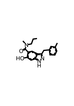 CCCN(C)C(=O)c1cc2c(Cc3cccc(C)c3)n[nH]c2cc1O